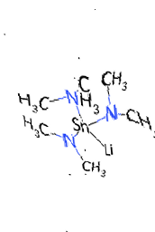 [Li][Sn]([N](C)C)([N](C)C)[N](C)C